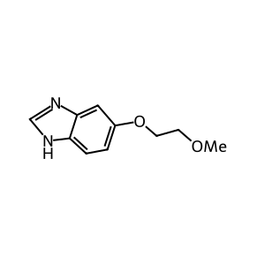 COCCOc1ccc2[nH]cnc2c1